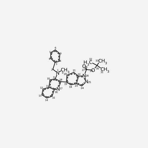 CN(Cc1ccccc1)c1cc2ccccc2nc1-c1ccc2c(cnn2C(=O)OC(C)(C)C)c1